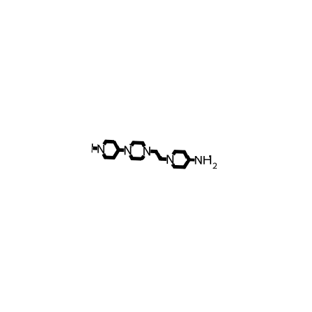 NC1CCN(CCN2CCN(C3CCN(I)CC3)CC2)CC1